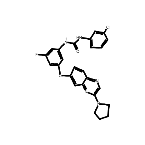 O=C(Nc1cccc(Cl)c1)Nc1cc(F)cc(Oc2ccc3ncc(N4CCCC4)nc3c2)c1